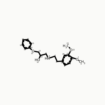 COc1ccc(CCNCC(O)COc2ccccc2)cc1OC